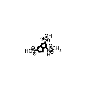 CS(=O)(=O)Nc1cc(S(=O)(=O)O)cc2cc(S(=O)(=O)O)ccc12